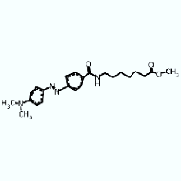 COC(=O)CCCCCCNC(=O)c1ccc(N=Nc2ccc(N(C)C)cc2)cc1